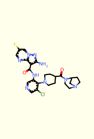 Nc1nn2cc(F)cnc2c1C(=O)Nc1cncc(Cl)c1N1CCC(C(=O)N2CCN3CCC2C3)CC1